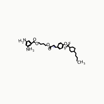 CCCCCC1CCC(C(F)(F)Oc2ccc(/C=C/C(=O)OCCCCOC(=O)c3cc(N)cc(N)c3)cc2)CC1